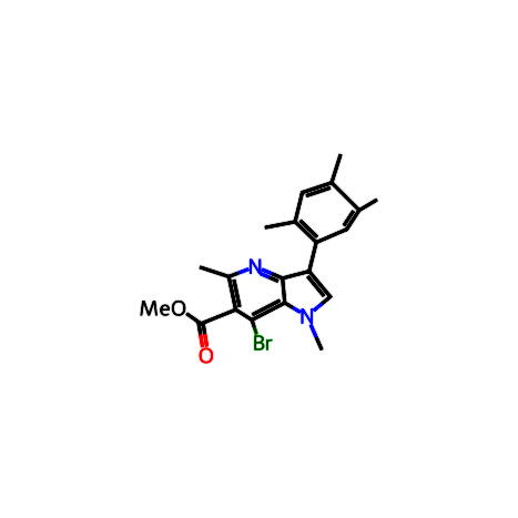 COC(=O)c1c(C)nc2c(-c3cc(C)c(C)cc3C)cn(C)c2c1Br